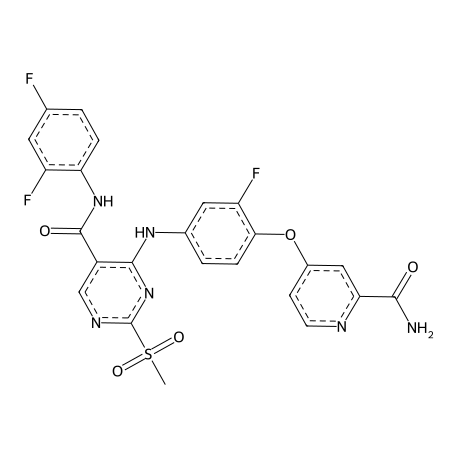 CS(=O)(=O)c1ncc(C(=O)Nc2ccc(F)cc2F)c(Nc2ccc(Oc3ccnc(C(N)=O)c3)c(F)c2)n1